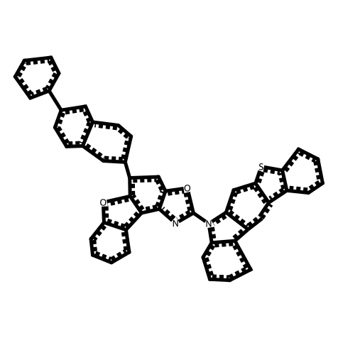 c1ccc(-c2ccc3cc(-c4cc5oc(-n6c7ccccc7c7cc8c(cc76)sc6ccccc68)nc5c5c4oc4ccccc45)ccc3c2)cc1